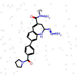 CCCN(N)C(=O)C1=Cc2ccc(-c3ccc(C(=O)N4CCCC4)cc3)cc2NC(N=NN)C1